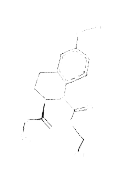 CCOC(=O)N1c2ccc(OC)cc2CC[C@@H]1C(=O)OC